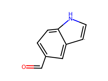 O=Cc1ccc2[nH]c[c]c2c1